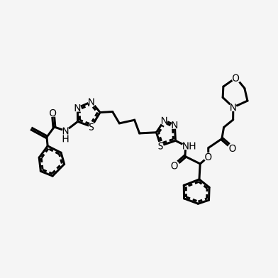 C=C(C(=O)Nc1nnc(CCCCc2nnc(NC(=O)C(OCC(=O)CCN3CCOCC3)c3ccccc3)s2)s1)c1ccccc1